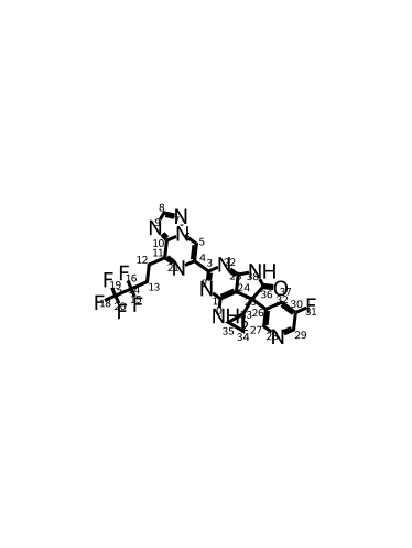 Nc1nc(-c2cn3ncnc3c(CCC(F)(F)C(F)(F)F)n2)nc2c1C(c1cncc(F)c1)(C1CC1)C(=O)N2